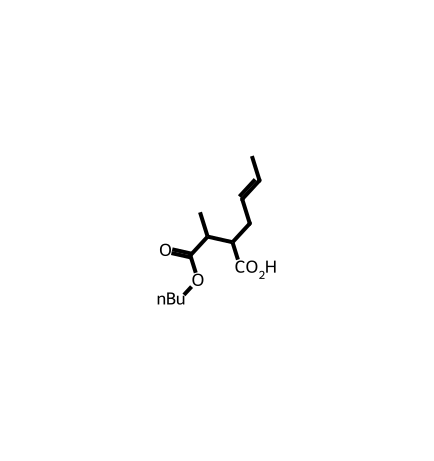 CC=CCC(C(=O)O)C(C)C(=O)OCCCC